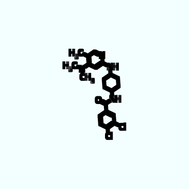 Cc1cnc(NC2CCC(NC(=O)c3ccc(Cl)c(Cl)c3)CC2)cc1N(C)C